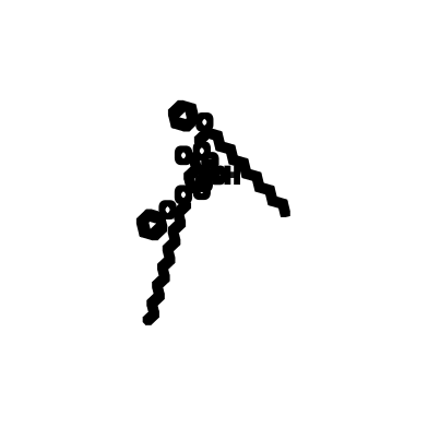 CCCCCCCCCCCCC(COC(=O)CC(C(=O)OCC(CCCCCCCCCCCC)Oc1ccccc1)S(=O)(=O)O)Oc1ccccc1